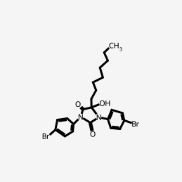 CCCCCCCCC1(O)C(=O)N(c2ccc(Br)cc2)C(=O)N1c1ccc(Br)cc1